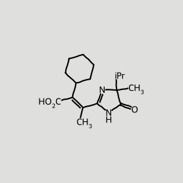 C/C(C1=NC(C)(C(C)C)C(=O)N1)=C(\C(=O)O)C1CCCCC1